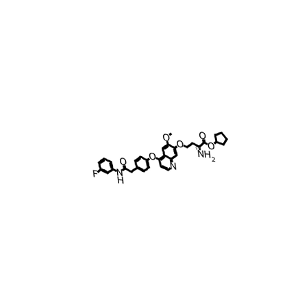 COc1cc2c(Oc3ccc(CC(=O)Nc4cccc(F)c4)cc3)ccnc2cc1OCC[C@H](N)C(=O)OC1CCCC1